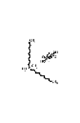 CCCCCCCCCC[N+](C)(C)CCCCCCCCCC.O=S(=O)(O)O.O=S(=O)(O)O